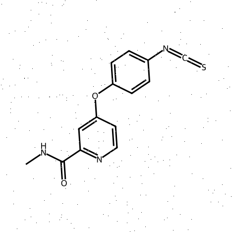 CNC(=O)c1cc(Oc2ccc(N=C=S)cc2)ccn1